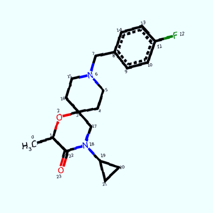 CC1OC2(CCN(Cc3ccc(F)cc3)CC2)CN(C2CC2)C1=O